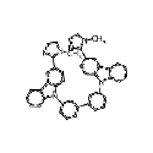 Cn1ccnc1-c1ccc2c(c1)c1ccccc1n2-c1cccc(-c2cccc(-n3c4ccccc4c4cc(-c5nccn5C)ccc43)c2)c1